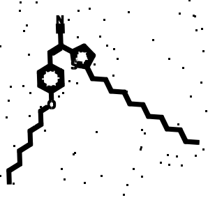 CCCCCCCCCCCCc1ccc(C(C#N)=Cc2ccc(OCCCCCCCC)cc2)s1